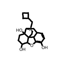 OC1=C2OC3C(O)CCC4(O)C5CC(C=C1)C2C34CCN5CC1CCC1